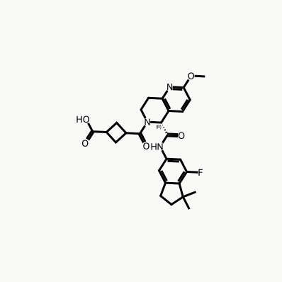 COc1ccc2c(n1)CCN(C(=O)C1CC(C(=O)O)C1)[C@H]2C(=O)Nc1cc(F)c2c(c1)CCC2(C)C